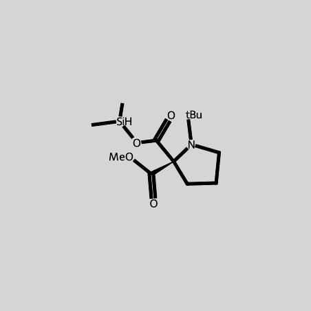 COC(=O)[C@]1(C(=O)O[SiH](C)C)CCCN1C(C)(C)C